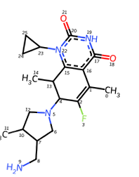 CC1=C(F)C(N2CC(CN)C(C(F)(F)F)C2)C(C)c2c1c(=O)[nH]c(=O)n2C1CC1